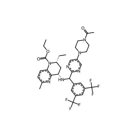 CCOC(=O)N1c2ccc(C)nc2[C@@H](NC(c2cc(C(F)(F)F)cc(C(F)(F)F)c2)c2ncc(N3CCN(C(C)=O)CC3)cn2)C[C@H]1CC